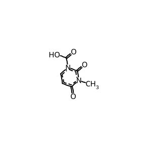 Cn1c(=O)ccn(C(=O)O)c1=O